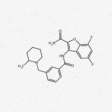 CC1CCCCN1Cc1cccc(C(=O)Nc2c(C(N)=O)oc3c(F)cc(F)cc23)c1